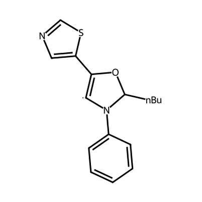 CCCCC1OC(c2cncs2)=[C]N1c1ccccc1